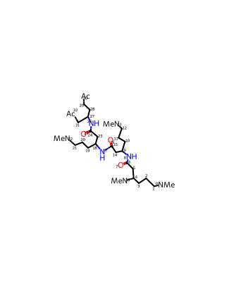 CNCCCC(CC(=O)NC(CCCNC)CC(=O)NC(CCCNC)CC(=O)NC(CCC(C)=O)CC(C)=O)NC